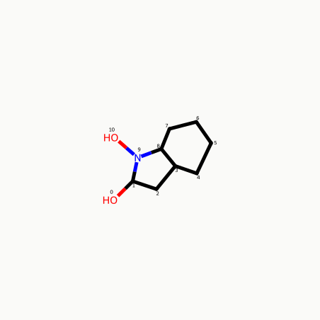 OC1CC2CCCCC2N1O